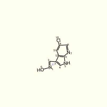 O/N=C/c1c[nH]c2ncc(Cl)cc12